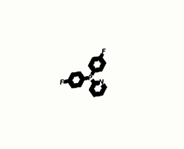 Fc1ccc(P(c2ccc(F)cc2)c2ccccn2)cc1